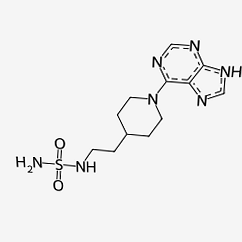 NS(=O)(=O)NCCC1CCN(c2ncnc3[nH]cnc23)CC1